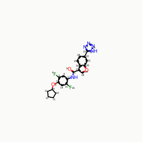 O=C(Nc1cc(F)c(OC2CCCC2)cc1F)c1coc2cc(-c3nnn[nH]3)ccc12